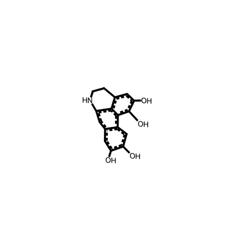 Oc1cc2cc3c4c(cc(O)c(O)c4c2cc1O)CCN3